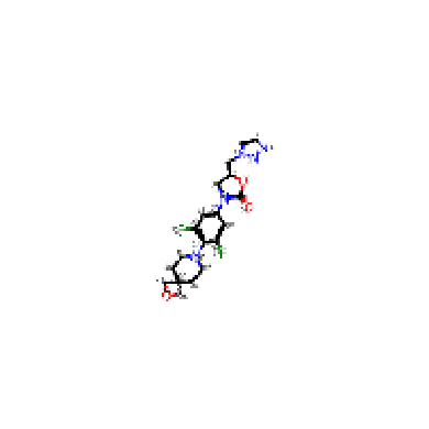 O=C1OC(Cn2ccnn2)CN1c1cc(F)c(N2CCC3(CC2)COC3)c(F)c1